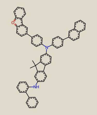 CC1(C)c2cc(Nc3ccccc3-c3ccccc3)ccc2-c2ccc(N(c3ccc(-c4ccc5ccccc5c4)cc3)c3ccc(-c4ccc5oc6ccccc6c5c4)cc3)cc21